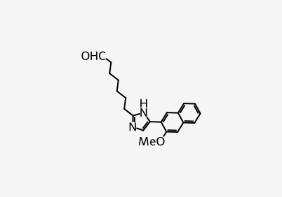 COc1cc2ccccc2cc1-c1cnc(CCCCCCC=O)[nH]1